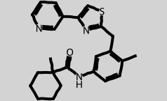 Cc1ccc(NC(=O)C2(C)CCCCC2)cc1Cc1nc(-c2cccnc2)cs1